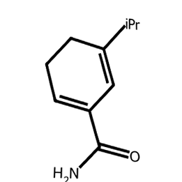 CC(C)C1=CC(C(N)=O)=CCC1